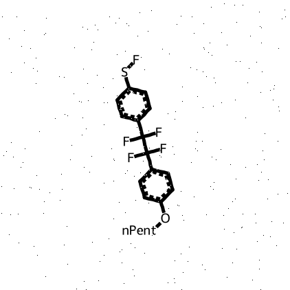 CCCCCOc1ccc(C(F)(F)C(F)(F)c2ccc(SF)cc2)cc1